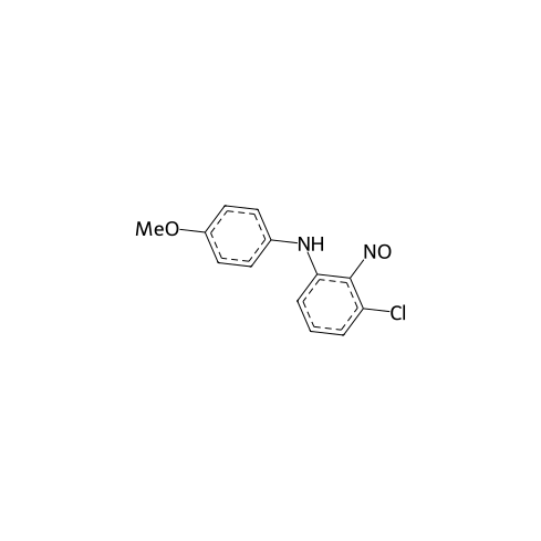 COc1ccc(Nc2cccc(Cl)c2N=O)cc1